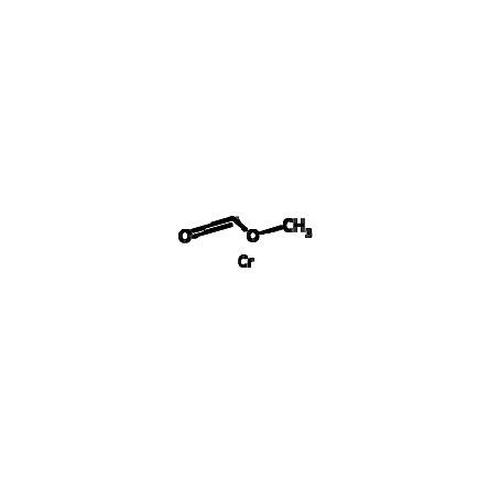 CO[C]=O.[Cr]